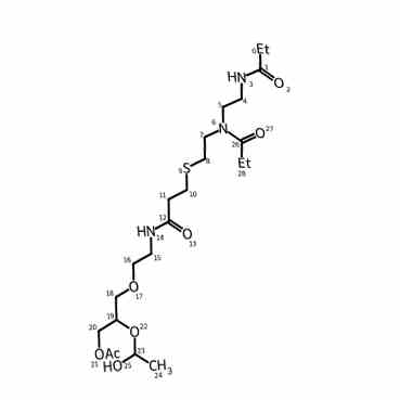 CCC(=O)NCCN(CCSCCC(=O)NCCOCC(COC(C)=O)OC(C)O)C(=O)CC